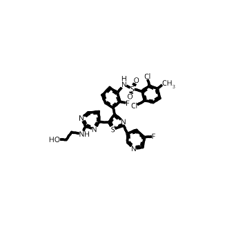 Cc1ccc(Cl)c(S(=O)(=O)Nc2cccc(-c3nc(-c4cncc(F)c4)sc3-c3ccnc(NCCO)n3)c2F)c1Cl